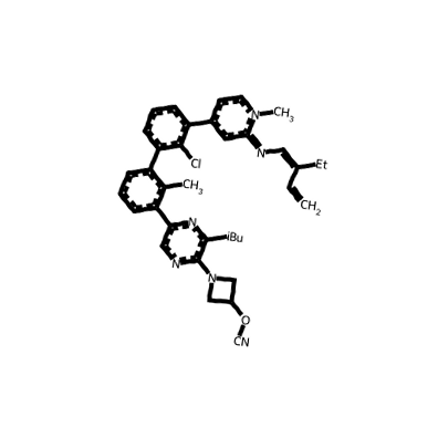 C=C/C(=C\N=c1\cc(-c2cccc(-c3cccc(-c4cnc(N5CC(OC#N)C5)c(C(C)CC)n4)c3C)c2Cl)ccn1C)CC